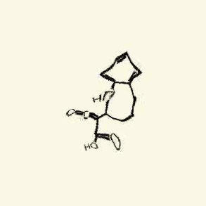 O=C=C(C(=O)O)C1CCCc2ccccc2N1